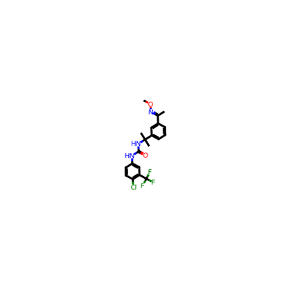 CON=C(C)c1cccc(C(C)(C)NC(=O)Nc2ccc(Cl)c(C(F)(F)F)c2)c1